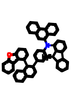 CC12c3ccccc3-c3cccc(c31)N(c1cc3ccccc3c3ccccc13)c1ccc(-c3ccc4ccccc4c3-c3cccc4oc5ccccc5c34)cc12